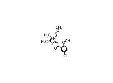 COCCN1C(C)=C(C)S/C1=C\C(=O)c1cc(Cl)ccc1OC